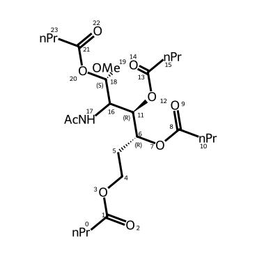 CCCC(=O)OCC[C@@H](OC(=O)CCC)[C@H](OC(=O)CCC)C(NC(C)=O)[C@@H](OC)OC(=O)CCC